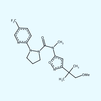 COCC(C)(C)c1cc(N(C)C(=O)N2CCCN2c2ccc(C(F)(F)F)cn2)on1